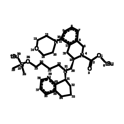 CC(C)(C)OC(=O)N1Cc2cccc(N3CCOCC3)c2C[C@@H]1CN(CCCCO[Si](C)(C)C(C)(C)C)[C@H]1CCCc2cccnc21